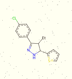 CCC1C(c2ccc(Cl)cc2)=NNC1c1cccs1